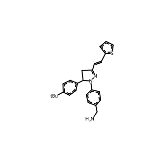 CC(C)(C)c1ccc(C2CC(C=Cc3cccs3)=NN2c2ccc(CN)cc2)cc1